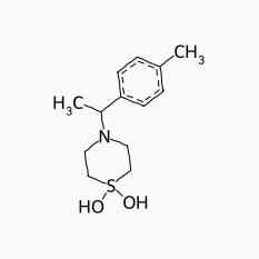 Cc1ccc(C(C)N2CCS(O)(O)CC2)cc1